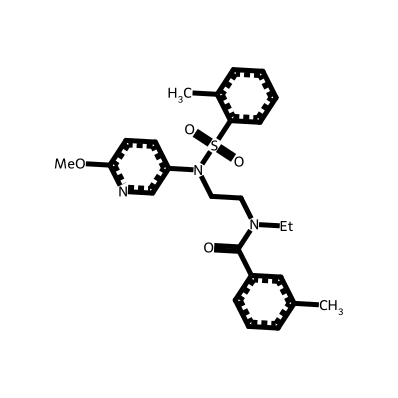 CCN(CCN(c1ccc(OC)nc1)S(=O)(=O)c1ccccc1C)C(=O)c1cccc(C)c1